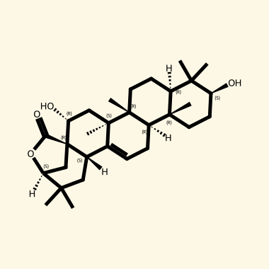 CC1(C)C[C@H]2C3=CC[C@@H]4[C@@]5(C)CC[C@H](O)C(C)(C)[C@@H]5CC[C@@]4(C)[C@]3(C)C[C@@H](O)[C@@]23C[C@@H]1OC3=O